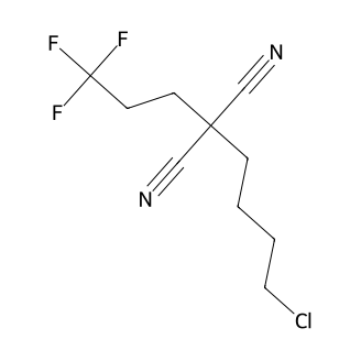 N#CC(C#N)(CCCCCl)CCC(F)(F)F